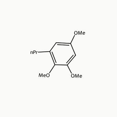 C[CH]Cc1cc(OC)cc(OC)c1OC